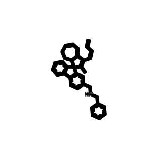 C=C/C=C\C1=C(C)C2(c3ccccc3-c3ccc(CNCc4ccccc4)cc32)C2CCC=CC=C12